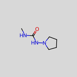 CNC(=O)NN1CCCC1